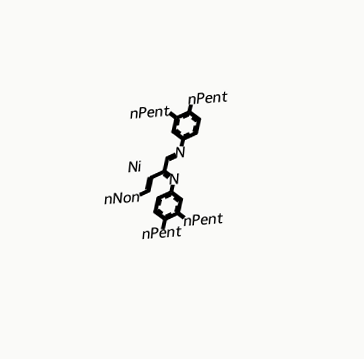 CCCCCCCCCC=CC(C=Nc1ccc(CCCCC)c(CCCCC)c1)=Nc1ccc(CCCCC)c(CCCCC)c1.[Ni]